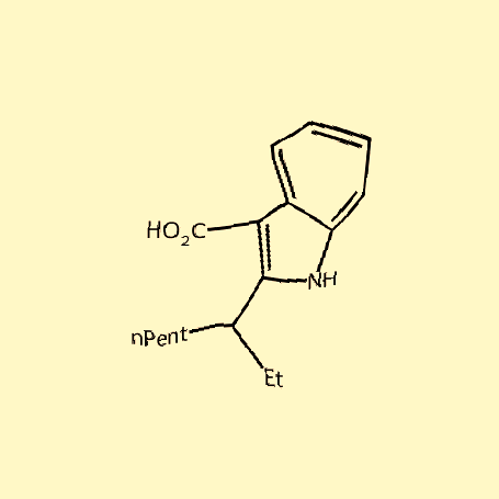 CCCCCC(CC)c1[nH]c2ccccc2c1C(=O)O